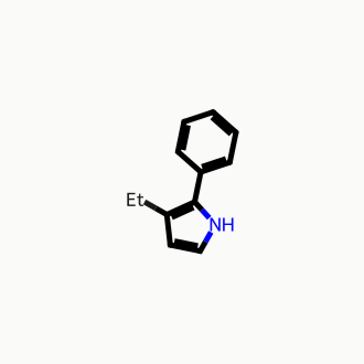 CCc1cc[nH]c1-c1ccccc1